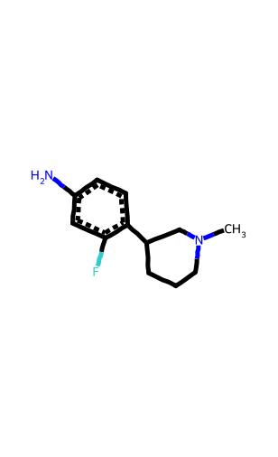 CN1CCCC(c2ccc(N)cc2F)C1